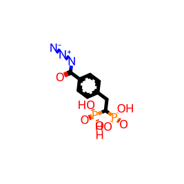 [N-]=[N+]=NC(=O)c1ccc(CC(P(=O)(O)O)P(=O)(O)O)cc1